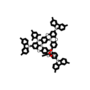 Cc1cc(C)c(N2c3cc4c(cc3B3c5cc6c(cc5Oc5cc(-n7c8ccc(C)cc8c8cc(C)ccc87)cc2c53)Oc2cc(-n3c5ccc(C)cc5c5cc(C)ccc53)cc3c2B6c2cc(C)ccc2O3)B2c3cc(C)ccc3Oc3cc(-n5c6ccc(C)cc6c6cc(C)ccc65)cc(c32)O4)c(C)c1